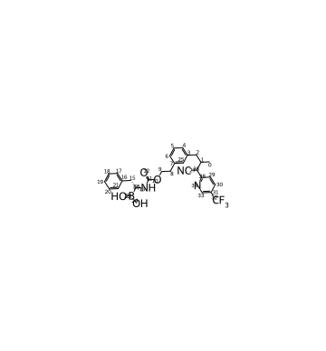 CC(Cc1cccc(CCOC(=O)N[C@@H](Cc2ccccc2)B(O)O)c1)C(C#N)c1ccc(C(F)(F)F)cn1